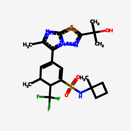 Cc1nc2sc(C(C)(C)O)nn2c1C1=CC(C)C(C(F)(F)F)C(S(=O)(=O)NC2(C)CCC2)=C1